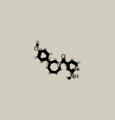 CNc1cc(C(=O)N2CCCCC(c3ccc(OC)cc3)C2)ccn1